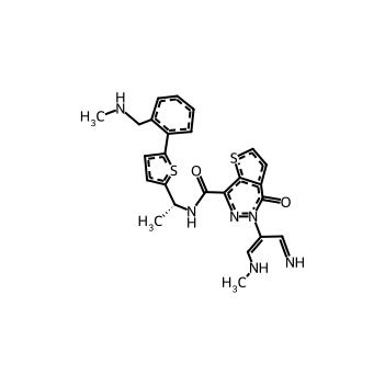 CN/C=C(\C=N)n1nc(C(=O)N[C@H](C)c2ccc(-c3ccccc3CNC)s2)c2sccc2c1=O